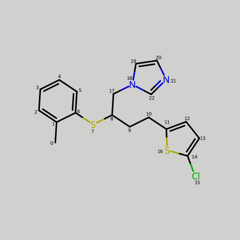 Cc1ccccc1SC(CCc1ccc(Cl)s1)Cn1ccnc1